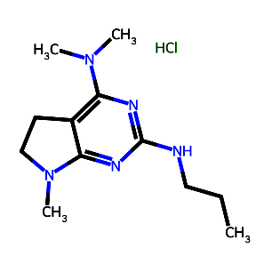 CCCNc1nc(N(C)C)c2c(n1)N(C)CC2.Cl